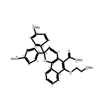 COCCOc1c(C(=O)OC)c2c(c3ccccc13)OC(c1ccc(OC)cc1)(c1ccc(OC)cc1)C=C2